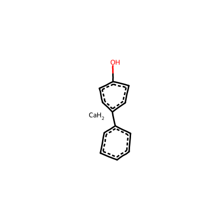 Oc1ccc(-c2ccccc2)cc1.[CaH2]